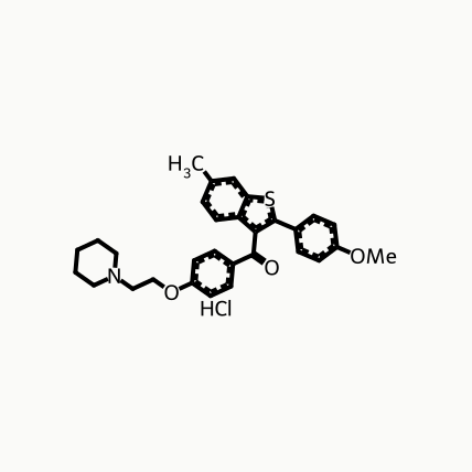 COc1ccc(-c2sc3cc(C)ccc3c2C(=O)c2ccc(OCCN3CCCCC3)cc2)cc1.Cl